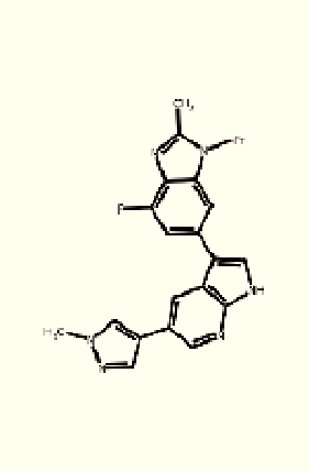 Cc1nc2c(F)cc(-c3c[nH]c4ncc(-c5cnn(C)c5)cc34)cc2n1C(C)C